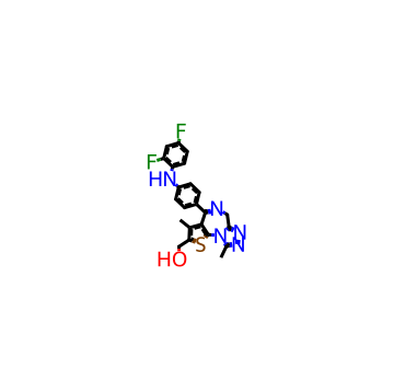 Cc1c(CO)sc2c1C(c1ccc(Nc3ccc(F)cc3F)cc1)=NCc1nnc(C)n1-2